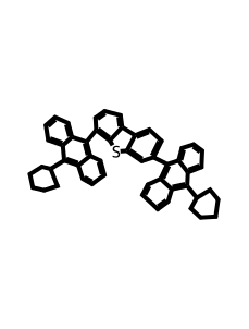 c1ccc2c(C3CCCCC3)c3ccccc3c(-c3ccc4c(c3)sc3c(-c5c6ccccc6c(C6CCCCC6)c6ccccc56)cccc34)c2c1